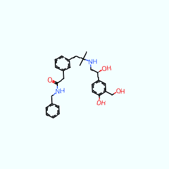 CC(C)(Cc1cccc(CC(=O)NCc2ccccc2)c1)NC[C@@H](O)c1ccc(O)c(CO)c1